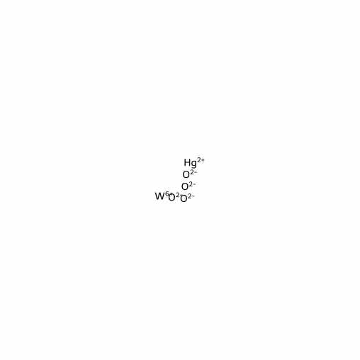 [Hg+2].[O-2].[O-2].[O-2].[O-2].[W+6]